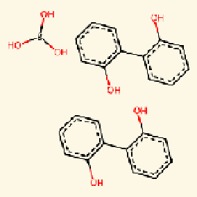 OB(O)O.Oc1ccccc1-c1ccccc1O.Oc1ccccc1-c1ccccc1O